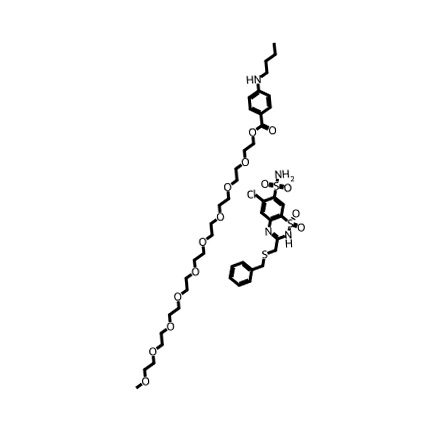 CCCCNc1ccc(C(=O)OCCOCCOCCOCCOCCOCCOCCOCCOCCOC)cc1.NS(=O)(=O)c1cc2c(cc1Cl)N=C(CSCc1ccccc1)NS2(=O)=O